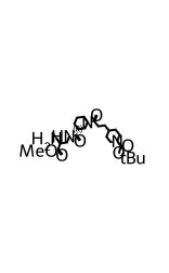 COC(=O)C(N)CNC(=O)[C@@H]1CCCN(C(=O)CCC2CCN(C(=O)OC(C)(C)C)CC2)C1